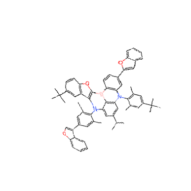 Cc1cc(C(C)(C)C)cc(C)c1N1c2cc(-c3cc4ccccc4o3)ccc2B2c3oc4ccc(C(C)(C)C)cc4c3N(c3c(C)cc(-c4coc5ccccc45)cc3C)c3cc(C(C)C)cc1c32